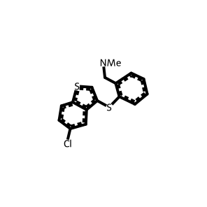 CNCc1ccccc1Sc1csc2ccc(Cl)cc12